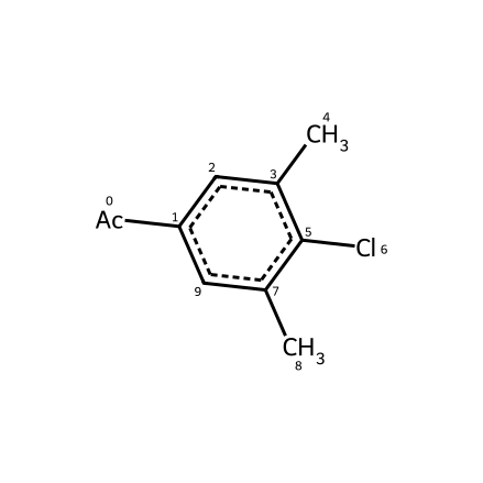 CC(=O)c1cc(C)c(Cl)c(C)c1